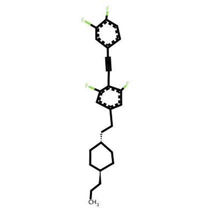 CCC[C@H]1CC[C@H](CCc2cc(F)c(C#Cc3ccc(F)c(F)c3)c(F)c2)CC1